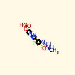 CCNC(=O)Nc1nc2cc(-c3cnc(N4CCC(OC(=O)O)CC4)nc3)c(F)cc2s1